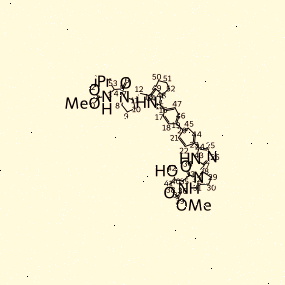 COC(=O)NC(C(=O)N1CCC[C@H]1Cc1[nH]c(-c2ccc(-c3ccc(-c4cnc([C@@H]5CCCN5C(=O)[C@@H](NC(=O)OC)[C@@H](C)O)[nH]4)cc3)cc2)c2c1CCC2)C(C)C